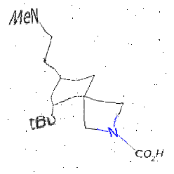 CNCCC1CC2(CN(C(=O)O)C2)C1C(C)(C)C